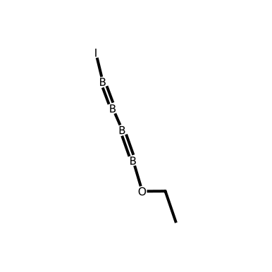 CCOB=BB=BI